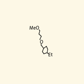 CCC1CCC(COCCCCOC)CC1